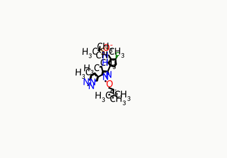 Cc1cc(-c2c(C(C)C)c(-c3ccc(F)c([C@H](C)N[S+]([O-])C(C)(C)C)c3)nn2COCC[Si](C)(C)C)cn2ncnc12